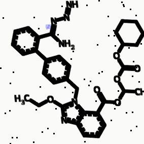 CCOc1nc2cccc(C(=O)OC(C)OC(=O)OC3CCCCC3)c2n1Cc1ccc(-c2ccccc2/C(N)=N/N=N)cc1